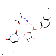 COC(=O)C(C)/N=[P+](\[O-])OC(Oc1ccc(Cl)c(Cl)c1)[C@@H]1O[C@@H](n2ccc(=O)[nH]c2=O)[C@](C)(F)[C@@H]1O